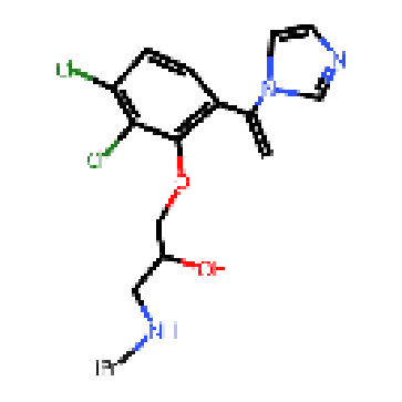 C=C(c1ccc(Cl)c(Cl)c1OCC(O)CNC(C)C)n1ccnc1